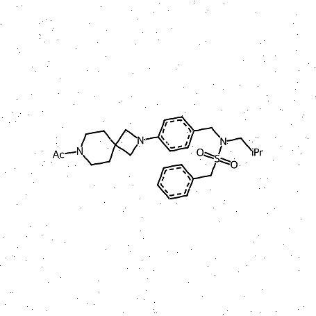 CC(=O)N1CCC2(CC1)CN(c1ccc(CN(CC(C)C)S(=O)(=O)Cc3ccccc3)cc1)C2